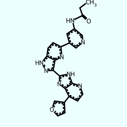 CCC(=O)Nc1cncc(-c2ccc3[nH]nc(-c4nc5c(-c6ccoc6)ccnc5[nH]4)c3n2)c1